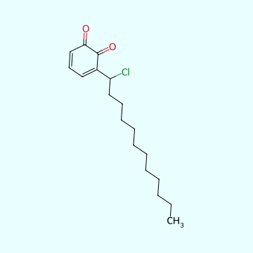 CCCCCCCCCCCC(Cl)C1=CC=CC(=O)C1=O